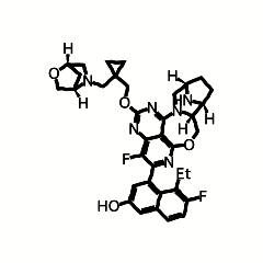 CCc1c(F)ccc2cc(O)cc(-c3nc4c5c(nc(OCC6(CN7C[C@@H]8C[C@H]7CO8)CC6)nc5c3F)N3C[C@@H]5CC[C@@H](N5)[C@@H]3CO4)c12